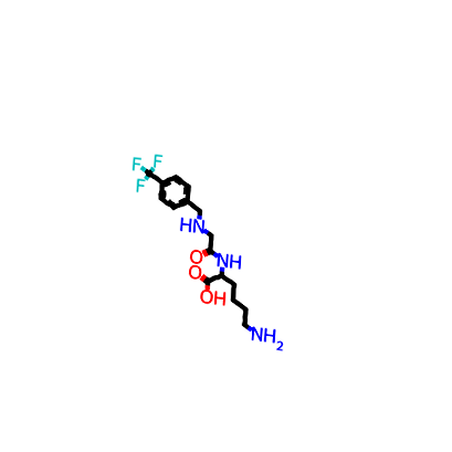 NCCCCC(NC(=O)CNCc1ccc(C(F)(F)F)cc1)C(=O)O